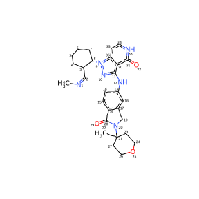 C/N=C\C1CCCC[C@@H]1n1nc(Nc2ccc3c(c2)CN(C2(C)CCOCC2)C3=O)c2c(=O)[nH]ccc21